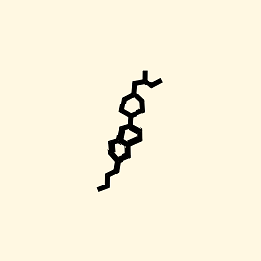 CCCCc1ccc2cc(C3CCC(CC(C)CC)CC3)ccc2c1